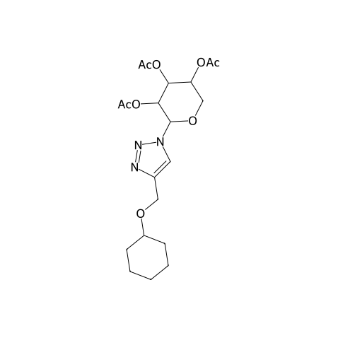 CC(=O)OC1COC(n2cc(COC3CCCCC3)nn2)C(OC(C)=O)C1OC(C)=O